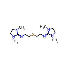 CN1CCN(C)C1=NCCSCCN=C1N(C)CCN1C